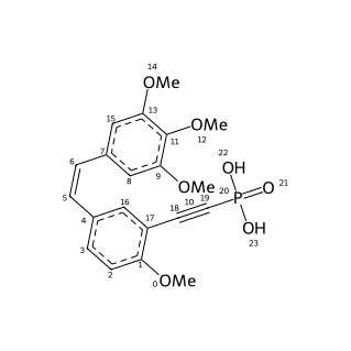 COc1ccc(/C=C\c2cc(OC)c(OC)c(OC)c2)cc1C#CP(=O)(O)O